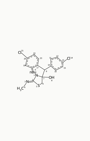 CCCCN1C(=NC)SCC1(O)C(c1ccc(Cl)cc1)c1ccc(Cl)cc1